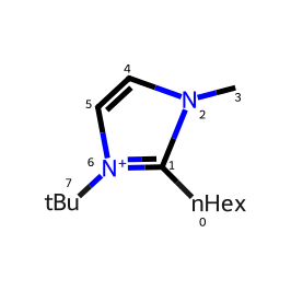 CCCCCCc1n(C)cc[n+]1C(C)(C)C